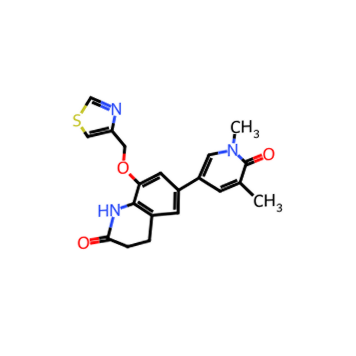 Cc1cc(-c2cc3c(c(OCc4cscn4)c2)NC(=O)CC3)cn(C)c1=O